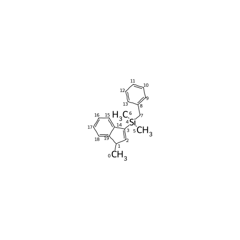 CC1C=C([Si](C)(C)Cc2ccccc2)c2ccccc21